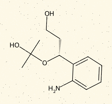 CC(C)(O)O[C@H](CCO)c1ccccc1N